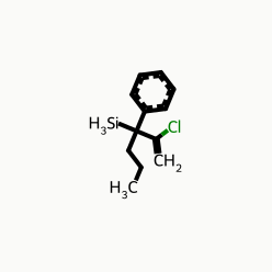 C=C(Cl)C([SiH3])(CCC)c1ccccc1